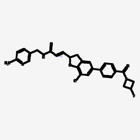 Cc1ccc(CNC(=O)/C=C/C2Cc3cc(-c4ccc(C(=O)N5CC(F)C5)cc4)cc(Cl)c3O2)cn1